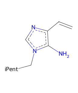 C=Cc1ncn(CC(C)CCC)c1N